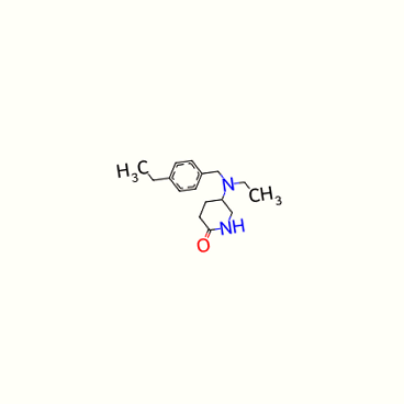 CCc1ccc(CN(CC)C2CCC(=O)NC2)cc1